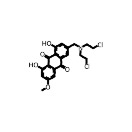 COc1cc(O)c2c(c1)C(=O)c1cc(CN(CCCl)CCCl)cc(O)c1C2=O